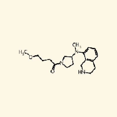 COCCCC(=O)N1CC[C@H](N(C)c2cccc3c2CNCC3)C1